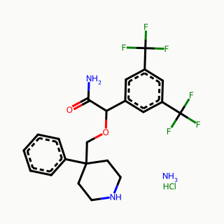 Cl.N.NC(=O)C(OCC1(c2ccccc2)CCNCC1)c1cc(C(F)(F)F)cc(C(F)(F)F)c1